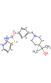 CC(C)(O)C1CCN(Cc2ccc(OC3Nc4ncccc4S3)cc2)CC1